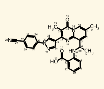 Cc1cc([C@@H](C)Nc2ccccc2C(=O)O)c2nc(-c3cnn(-c4ccc(C#N)cc4)c3)c(C)c(=O)n2c1